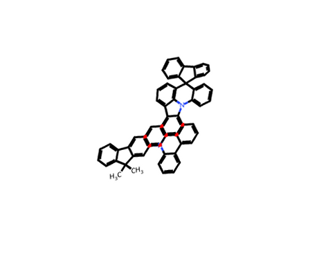 CC1(C)c2ccccc2-c2ccc(N(c3ccc4c(c3)c3cccc5c3n4-c3ccccc3C53c4ccccc4-c4ccccc43)c3ccccc3-c3ccccc3-c3ccccc3)cc21